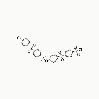 CCC(Cl)(CC)c1ccc(S(=O)(=O)c2ccc(OC(C)(C)c3ccc(S(=O)(=O)c4ccc(Cl)cc4)cc3)cc2)cc1